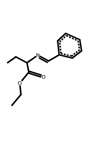 CCOC(=O)C(CC)N=Cc1ccccc1